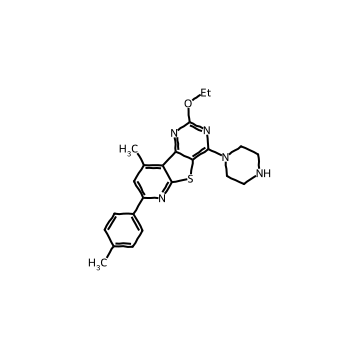 CCOc1nc(N2CCNCC2)c2sc3nc(-c4ccc(C)cc4)cc(C)c3c2n1